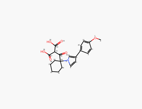 COc1ccc(-c2ccn(C3(C(=O)C(C(=O)O)C(=O)O)CCCCC3)c2)cc1